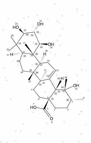 C[C@@H]1CC[C@]2(C(=O)O)CC[C@]3(C)C(=CC[C@@H]4[C@@]5(C)[C@H](O)[C@@H](O)[C@H](O)C(C)(C)[C@@H]5CC[C@]43C)[C@@H]2[C@]1(C)O